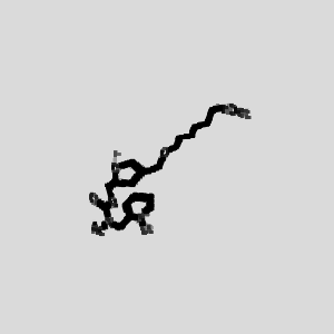 CCCCCCCCCCCCCCCCOCC1COC(COC(=O)N(Cc2cccc[n+]2CC)C(C)=O)C1.[I-]